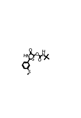 CSc1cccc(C2NC(=O)C(OC(=O)NC(C)(C)C)S2)c1